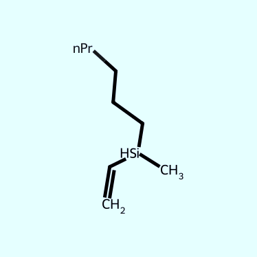 C=C[SiH](C)CCCCCC